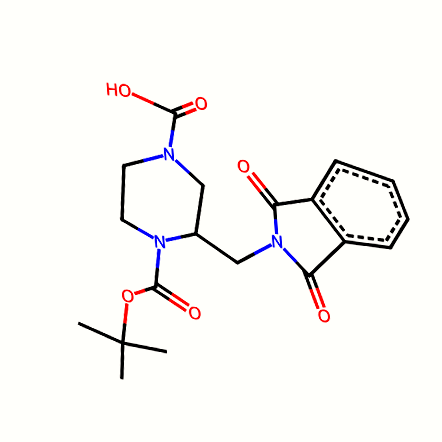 CC(C)(C)OC(=O)N1CCN(C(=O)O)CC1CN1C(=O)c2ccccc2C1=O